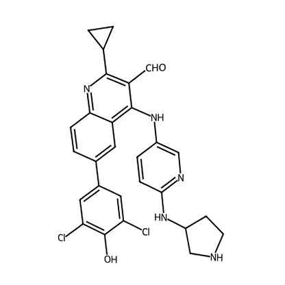 O=Cc1c(C2CC2)nc2ccc(-c3cc(Cl)c(O)c(Cl)c3)cc2c1Nc1ccc(NC2CCNC2)nc1